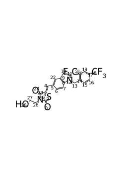 O=C1S/C(=C\c2ccc3c(ccn3Cc3ccc(C(F)(F)F)cc3C(F)(F)F)c2)C(=O)N1CCO